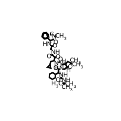 CN(C)C(=O)[C@@H](NC(=O)CNC(=O)C(=O)C(CC1CC1)NC(=O)[C@@H]1[C@H]2CC(C)(C)O[C@H]2CN1C(=O)[C@@H](NC(=O)NC(C)(C)C)C1CCCCC1)c1ccccc1